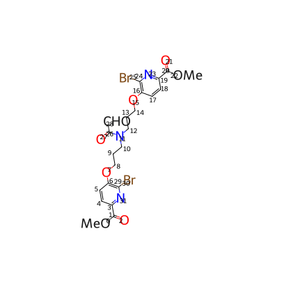 COC(=O)c1ccc(OCCCN(CCCOc2ccc(C(=O)OC)nc2Br)C(=O)C=O)c(Br)n1